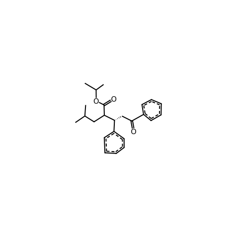 CC(C)CC(C(=O)OC(C)C)[C@H](CC(=O)c1ccccc1)c1ccccc1